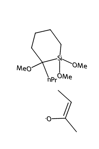 CC=C(C)[O].CCCC1(OC)CCCC[Si]1(OC)OC